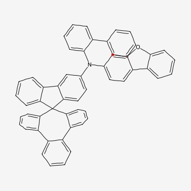 c1ccc(-c2ccccc2N(c2ccc3c(c2)-c2ccccc2C32c3ccccc3-c3ccccc3-c3ccccc32)c2ccc3c(c2)oc2ccccc23)cc1